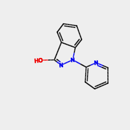 Oc1nn(-c2ccccn2)c2ccccc12